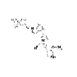 CO[C@@H]1CNCC[C@@H]1N1CC(CC#N)(n2cc(-c3ncnc4c3ccn4COCC[Si](C)(C)C)cn2)C1